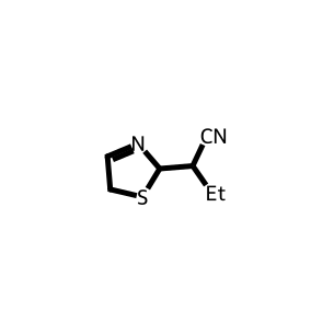 CCC(C#N)C1N=CCS1